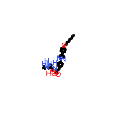 CCCCCCCOc1ccc(-c2cnc(-c3ccc(CC(NC(=O)/C(C=N)=C/NC(C)(C)C)C(=O)O)cc3)nc2)cc1